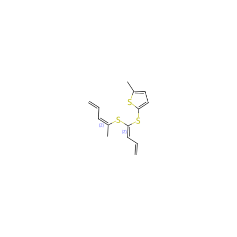 C=C/C=C(/C)S/C(=C/C=C)Sc1ccc(C)s1